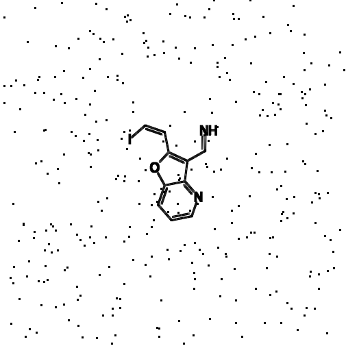 N=Cc1c(/C=C\I)oc2cccnc12